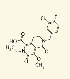 CCn1c(C(=O)O)c2c(c(OC)c1=O)C(=O)N(Cc1ccc(F)c(Cl)c1)CC2